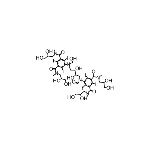 CN(CC(O)CO)C(=O)c1c(I)c(C(=O)N(C)CC(O)CO)c(I)c(N(C=O)CC(O)C(O)CN(CO)c2c(I)c(C(=O)N(C)CC(O)CO)c(I)c(C(=O)N(C)CC(O)CO)c2I)c1I